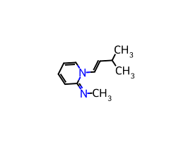 C/N=c1/ccccn1/C=C/C(C)C